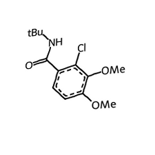 COc1ccc(C(=O)NC(C)(C)C)c(Cl)c1OC